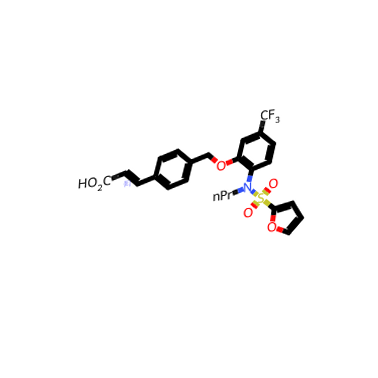 CCCN(c1ccc(C(F)(F)F)cc1OCc1ccc(/C=C/C(=O)O)cc1)S(=O)(=O)c1ccco1